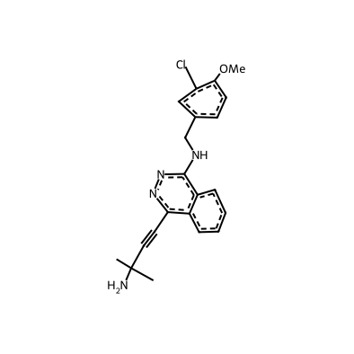 COc1ccc(CNc2nnc(C#CC(C)(C)N)c3ccccc23)cc1Cl